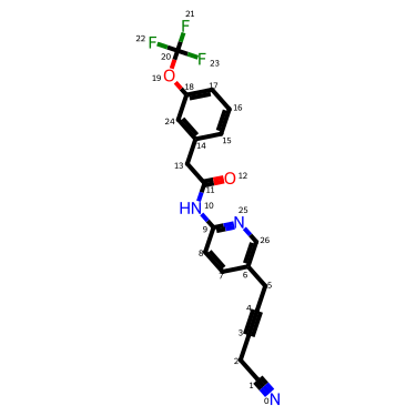 N#CCC#CCc1ccc(NC(=O)Cc2cccc(OC(F)(F)F)c2)nc1